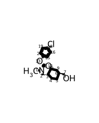 CN(C[C@H]1CC[C@H](CO)CC1)C(=O)Oc1ccc(Cl)cc1